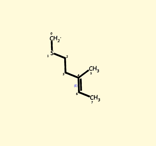 [CH2]SCC/C(C)=C/C